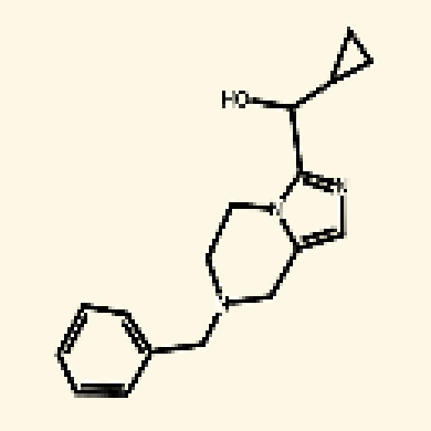 OC(c1ncc2n1CCN(Cc1ccccc1)C2)C1CC1